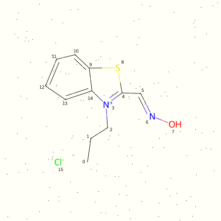 CCC[n+]1c(C=NO)sc2ccccc21.[Cl-]